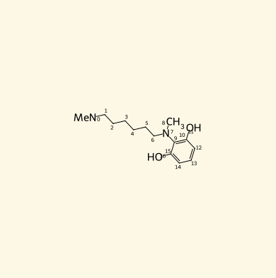 CNCCCCCCN(C)c1c(O)cccc1O